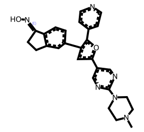 CN1CCN(c2ncc(-c3cc(-c4ccc5c(c4)CC/C5=N\O)c(-c4ccncc4)o3)cn2)CC1